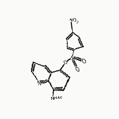 CC(=O)Nc1ccc(OS(=O)(=O)c2ccc([N+](=O)[O-])cc2)c2cccnc12